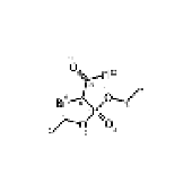 CCOP(=O)(OCC)C(Br)C(=O)Cl